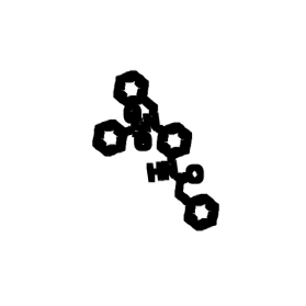 O=C(Cc1ccccc1)Nc1cccc(N(Cc2ccccc2)S(=O)(=O)c2ccccc2)c1